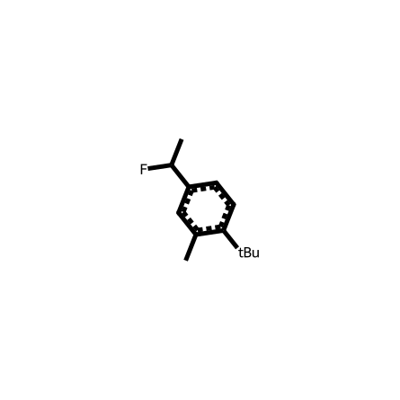 Cc1cc(C(C)F)ccc1C(C)(C)C